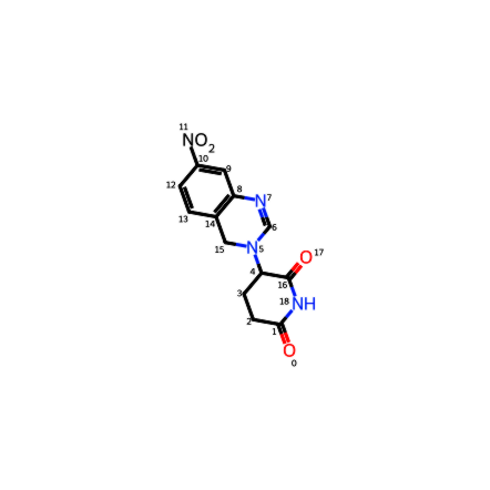 O=C1CCC(N2C=Nc3cc([N+](=O)[O-])ccc3C2)C(=O)N1